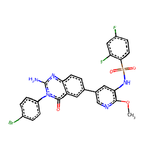 COc1ncc(-c2ccc3nc(N)n(-c4ccc(Br)cc4)c(=O)c3c2)cc1NS(=O)(=O)c1ccc(F)cc1F